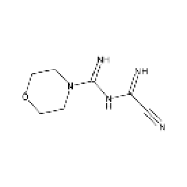 N#CC(=N)NC(=N)N1CCOCC1